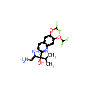 CC(C)C(O)(/C(N)=C/N)c1ccc2cc(OC(F)F)c(OC(F)F)cc2n1